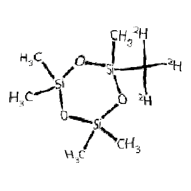 [2H]C([2H])([2H])[Si]1(C)O[Si](C)(C)O[Si](C)(C)O1